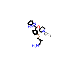 CN1CCC(OC(c2cccc(SCC3CC3CN)c2)c2nc3ccccc3[nH]2)CC1